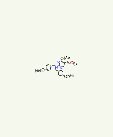 CCO/C=C/c1cnc(N(Cc2ccc(OC)cc2)Cc2ccc(OC)cc2)nc1OC